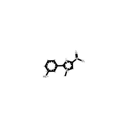 Cn1cc([N+](=O)[O-])nc1-c1cccc(S)c1